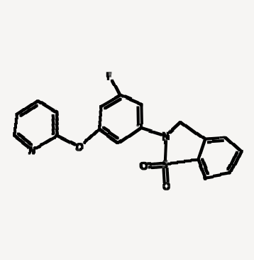 O=S1(=O)c2ccccc2CN1c1cc(F)cc(Oc2ccccn2)c1